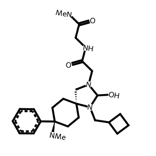 CNC(=O)CNC(=O)CN1C[C@]2(CC[C@@](NC)(c3ccccc3)CC2)N(CC2CCC2)C1O